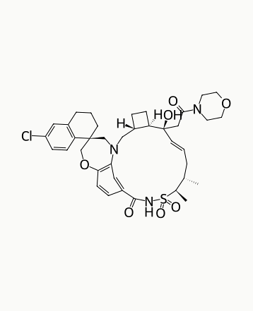 C[C@@H]1[C@@H](C)C/C=C/[C@@](O)(CC(=O)N2CCOCC2)[C@@H]2CC[C@H]2CN2C[C@@]3(CCCc4cc(Cl)ccc43)COc3ccc(cc32)C(=O)NS1(=O)=O